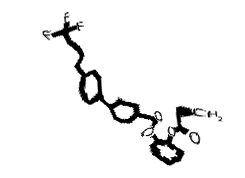 C=CC(=O)Oc1ccccc1OC(=O)C1CCC(C2CCC(CCCC(F)(F)F)CC2)CC1